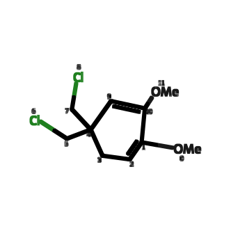 COC1=CCC(CCl)(CCl)C=C1OC